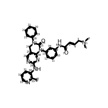 CN(C)C/C=C/C(=O)Nc1cccc(N2C(=O)N(c3ccccc3)Cc3cnc(Nc4cccnc4F)nc32)c1